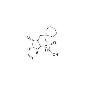 O=C(CC1(CN2C(=O)c3ccccc3C2=O)CCCCC1)NO